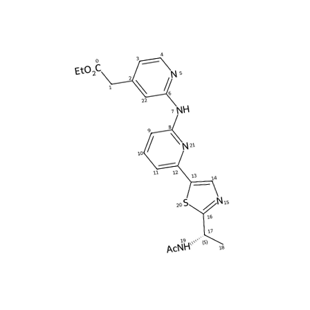 CCOC(=O)Cc1ccnc(Nc2cccc(-c3cnc([C@H](C)NC(C)=O)s3)n2)c1